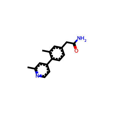 Cc1cc(-c2ccc(CC(N)=O)cc2C)ccn1